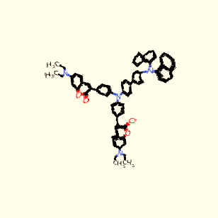 CCN(CC)c1ccc2cc(-c3ccc(N(c4ccc(-c5ccc(N(c6cccc7ccccc67)c6cccc7ccccc67)cc5)cc4)c4ccc(-c5cc6ccc(N(CC)CC)cc6oc5=O)cc4)cc3)c(=O)oc2c1